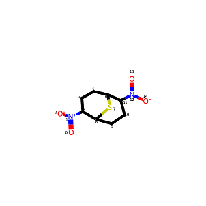 O=[N+]([O-])C1CCC2SC1CCC2[N+](=O)[O-]